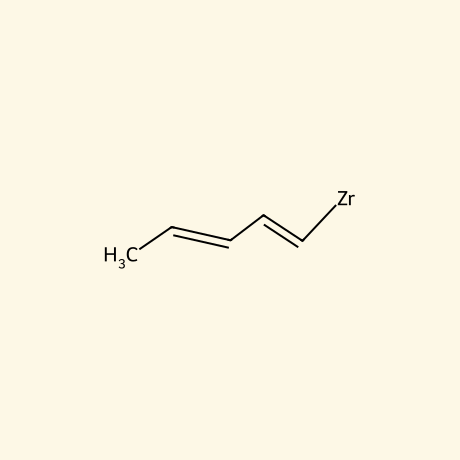 CC=CC=[CH][Zr]